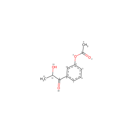 CC(=O)Oc1cccc(C(=O)C(C)O)c1